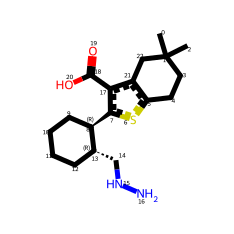 CC1(C)CCc2sc([C@@H]3CCCC[C@H]3CNN)c(C(=O)O)c2C1